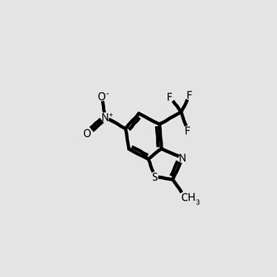 Cc1nc2c(C(F)(F)F)cc([N+](=O)[O-])cc2s1